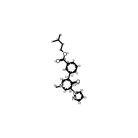 CC(C)CCOC(=O)c1cccc(-c2cn(C)cc(-n3cccn3)c2=O)c1